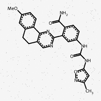 COc1ccc2c(c1)CCc1cnc(-c3cc(NC(=O)Nc4cc(C)no4)ccc3C(N)=O)nc1-2